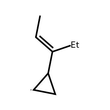 CC=C(CC)C1[CH]C1